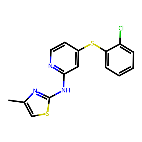 Cc1csc(Nc2cc(Sc3ccccc3Cl)ccn2)n1